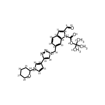 CC(C)(C)OC(=O)n1c(C=O)cc2ccc(Cn3cc(-c4ccn(C5CCCCO5)c4)nn3)cc21